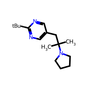 CC(C)(C)c1ncc(CC(C)(C)N2CCCC2)cn1